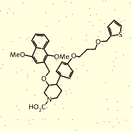 COc1cc(COC2CN(C(=O)O)CCC2c2ccc(OCCCOCc3cccs3)cc2)c(OC)c2ccccc12